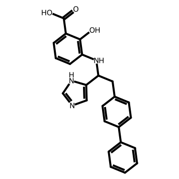 O=C(O)c1cccc(NC(Cc2ccc(-c3ccccc3)cc2)c2cnc[nH]2)c1O